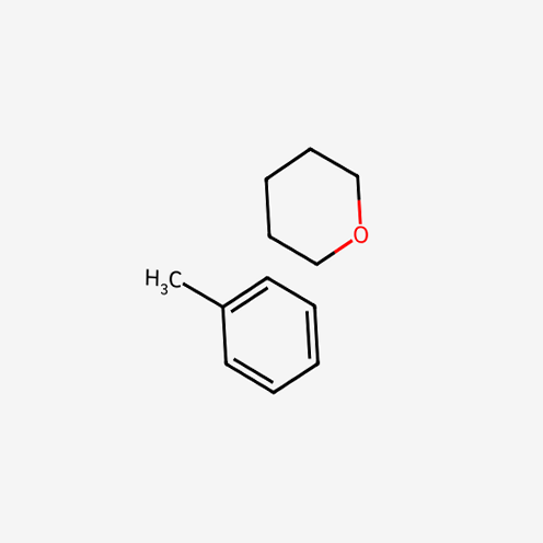 C1CCOCC1.Cc1ccccc1